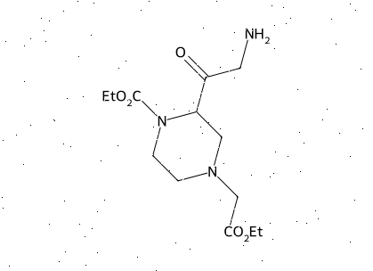 CCOC(=O)CN1CCN(C(=O)OCC)C(C(=O)CN)C1